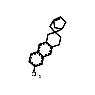 Cc1ccc2cc3c(cc2c1)CCC1(CC2=CCC1C2)C3